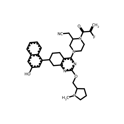 C=C(F)C(=O)N1CCN(c2nc(OCC3CCCN3C)nc3c2CCC(c2cc(O)cc4ccccc24)C3)CC1CC#N